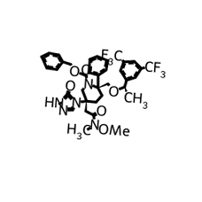 CON(C)C(=O)C[C@]1(n2cn[nH]c2=O)CC[C@@](CO[C@H](C)c2cc(C(F)(F)F)cc(C(F)(F)F)c2)(c2ccccc2)N(C(=O)OCc2ccccc2)C1